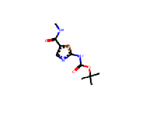 CNC(=O)c1cnc(NC(=O)OC(C)(C)C)s1